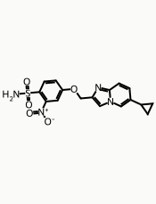 NS(=O)(=O)c1ccc(OCc2cn3cc(C4CC4)ccc3n2)cc1[N+](=O)[O-]